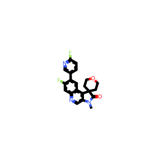 CN1C(=O)C2(CCOCC2)c2c1cnc1cc(F)c(-c3ccc(F)nc3)cc21